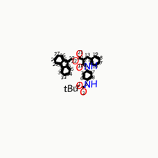 CC(C)(C)OC(=O)Nc1ccc(NC(=O)C(Cc2ccccc2)C(=O)OCC2c3ccccc3-c3ccccc32)cc1